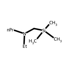 CCCN(CC)C[Si](C)(C)C